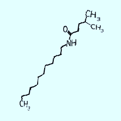 CCCCCCCCCCCCNC(=O)CCC(C)C